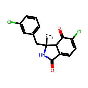 CC1(Cc2cccc(Cl)c2)NC(=O)C2=CC=C(Cl)C(=O)C21